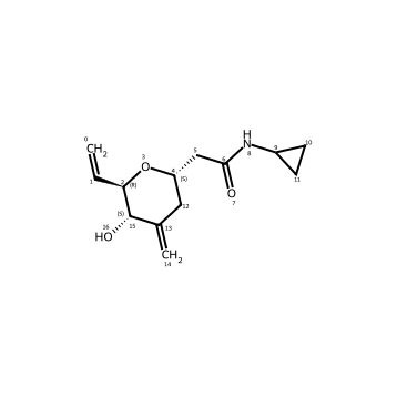 C=C[C@H]1O[C@H](CC(=O)NC2CC2)CC(=C)[C@@H]1O